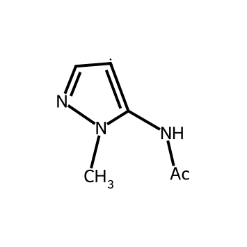 CC(=O)Nc1[c]cnn1C